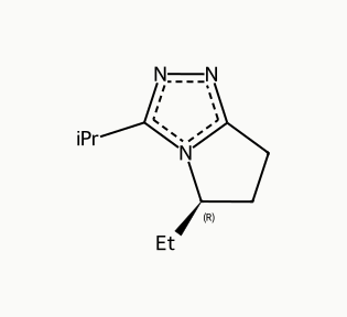 CC[C@@H]1CCc2nnc(C(C)C)n21